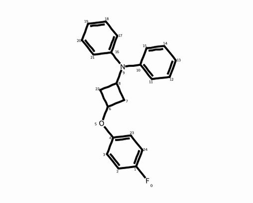 Fc1ccc(OC2CC(N(c3ccccc3)c3ccccc3)C2)cc1